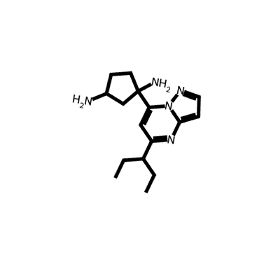 CCC(CC)c1cc(C2(N)CCC(N)C2)n2nccc2n1